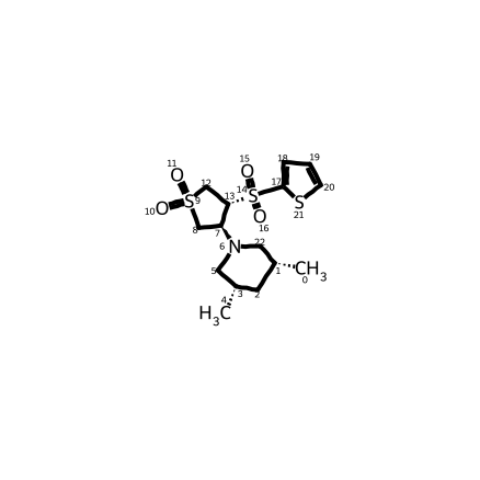 C[C@@H]1C[C@H](C)CN([C@H]2CS(=O)(=O)C[C@@H]2S(=O)(=O)c2cccs2)C1